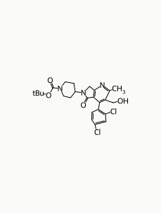 Cc1nc2c(c(-c3ccc(Cl)cc3Cl)c1CO)C(=O)N(C1CCN(C(=O)OC(C)(C)C)CC1)C2